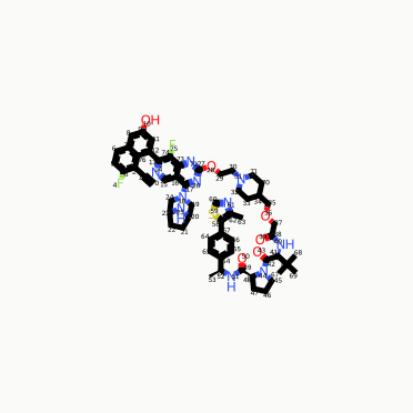 C#Cc1c(F)ccc2cc(O)cc(-c3ncc4c(N5CC6CCC(C5)N6)nc(OCCN5CCC(COCC(=O)N[C@H](C(=O)N6CCC[C@H]6C(=O)N[C@@H](C)c6ccc(-c7scnc7C)cc6)C(C)(C)C)CC5)nc4c3F)c12